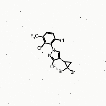 FC(F)(F)c1ccc(Cl)c(-n2cc(C3CC3(Br)Br)c(C(F)(F)F)n2)c1Cl